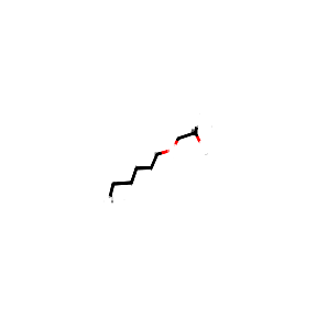 CCCCCCCCCCOCC(C)O